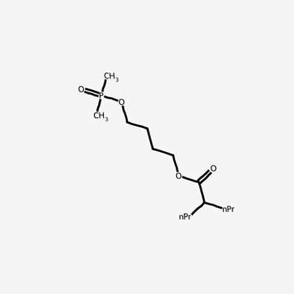 CCCC(CCC)C(=O)OCCCCOP(C)(C)=O